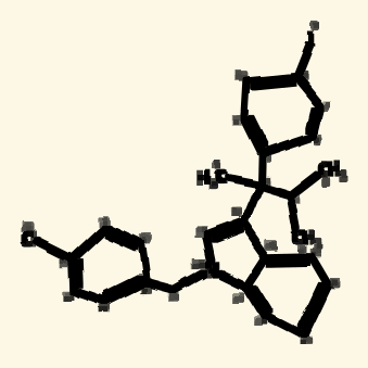 CC(C)C(C)(c1ccc(I)cc1)c1cn(Cc2ccc(Cl)cc2)c2ccccc12